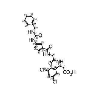 O=C(O)CC(NC(=O)CNC(=O)c1csc(NC(=O)NCc2ccccc2)c1)c1cc(Cl)cc(Cl)c1